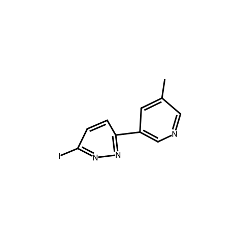 Cc1cncc(-c2ccc(I)nn2)c1